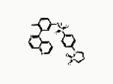 Cc1ccc(NS(=O)(=O)c2ccc(N3CCCS3(=O)=O)cc2)cc1-c1nccc2ncccc12